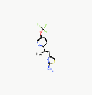 CC(=Cc1csc(N)n1)c1ccc(OC(F)(F)F)cn1